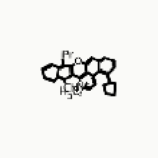 Cc1c2c(c(C(C)C)c3ccccc13)Oc1cc3cccc(C4CCCC4)c3c3cc[n+](C)c-2c13